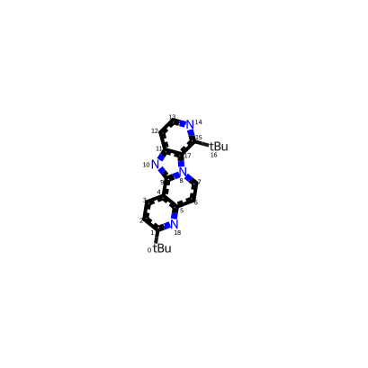 CC(C)(C)c1ccc2c(ccn3c2nc2ccnc(C(C)(C)C)c23)n1